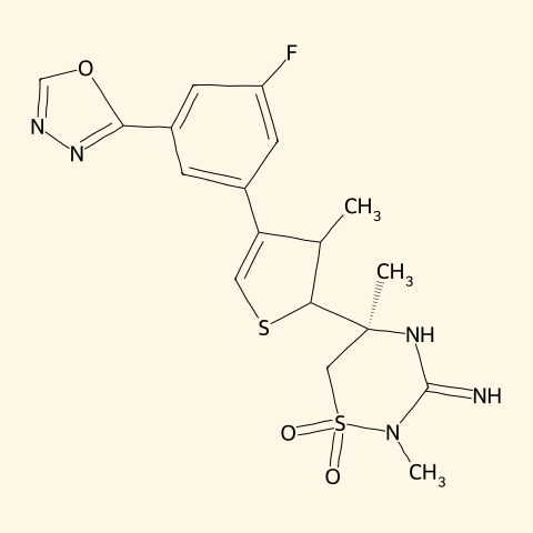 CC1C(c2cc(F)cc(-c3nnco3)c2)=CSC1[C@]1(C)CS(=O)(=O)N(C)C(=N)N1